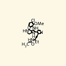 C=CC(=O)N[C@@H](C#Cc1cnccc1-c1[nH]c2c(c1Nc1cccc(Cl)c1OC)C(=O)NCC2)CC